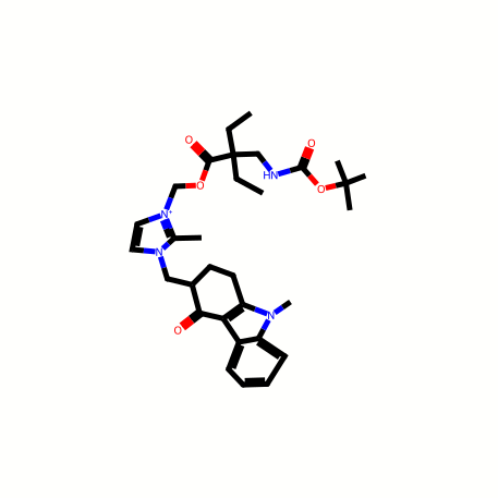 CCC(CC)(CNC(=O)OC(C)(C)C)C(=O)OC[n+]1ccn(CC2CCc3c(c4ccccc4n3C)C2=O)c1C